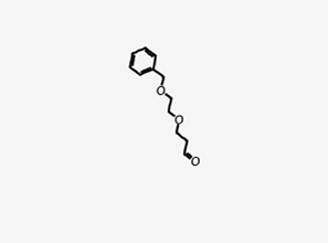 O=CCCOCCOCc1ccccc1